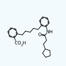 O=C(CCC1CCCC1)Nc1ccccc1CCCCCc1ccccc1C(=O)O